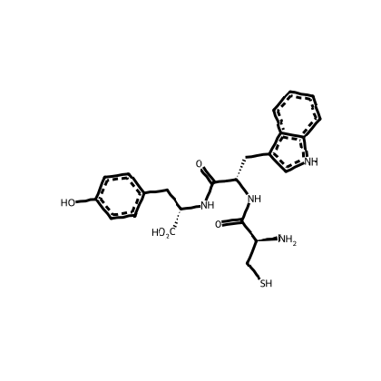 N[C@@H](CS)C(=O)N[C@@H](Cc1c[nH]c2ccccc12)C(=O)N[C@@H](Cc1ccc(O)cc1)C(=O)O